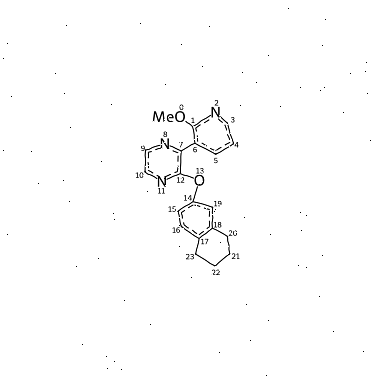 COc1ncccc1-c1nccnc1Oc1ccc2c(c1)CCCC2